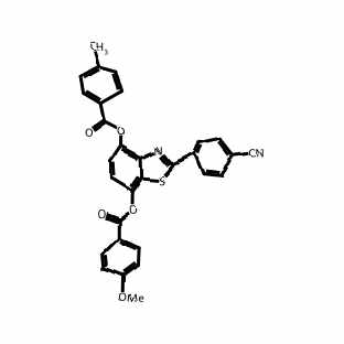 COc1ccc(C(=O)Oc2ccc(OC(=O)c3ccc(C)cc3)c3nc(-c4ccc(C#N)cc4)sc23)cc1